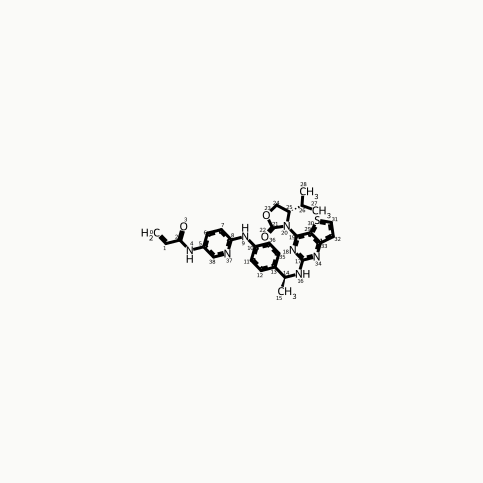 C=CC(=O)Nc1ccc(Nc2ccc([C@H](C)Nc3nc(N4C(=O)OC[C@@H]4C(C)C)c4sccc4n3)cc2)nc1